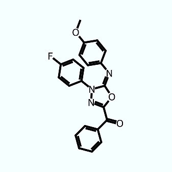 COc1ccc(/N=c2/oc(C(=O)c3ccccc3)nn2-c2ccc(F)cc2)cc1